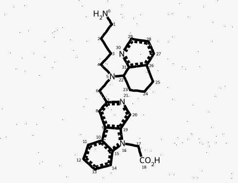 NCCCCN(Cc1cc2c3ccccc3n(CC(=O)O)c2cn1)C1CCCc2cccnc21